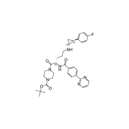 CC(C)(C)OC(=O)N1CCN(C(=O)[C@H](CCCN[C@@H]2C[C@H]2c2ccc(F)cc2)NC(=O)c2ccc(-c3ncccn3)cc2)CC1